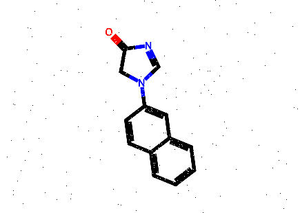 O=C1CN(c2ccc3ccccc3c2)C=N1